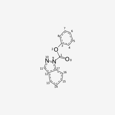 O=C(Oc1ccccc1)n1ncc2ccccc21